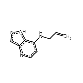 C=CCNc1ccnc2cn[nH]c12